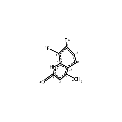 Cc1cc(=O)[nH]c2c(F)c(F)ccc12